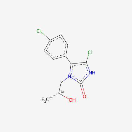 O=c1[nH]c(Cl)c(-c2ccc(Cl)cc2)n1C[C@H](O)C(F)(F)F